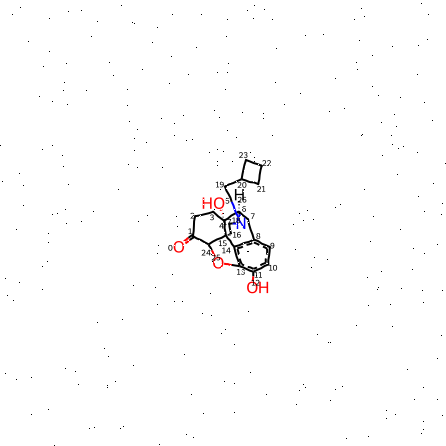 O=C1CC[C@@]2(O)[C@H]3Cc4ccc(O)c5c4[C@@]2(CCN3CC2CCC2)C1O5